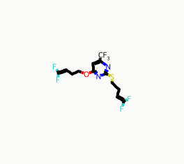 FC(F)=CCCOc1cc(C(F)(F)F)nc(SCCC=C(F)F)n1